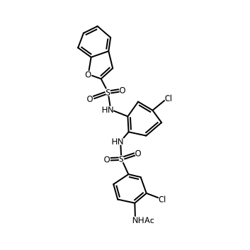 CC(=O)Nc1ccc(S(=O)(=O)Nc2ccc(Cl)cc2NS(=O)(=O)c2cc3ccccc3o2)cc1Cl